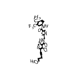 Cc1ccc(NC(=O)c2cnc(CNC(=O)c3ncnc(C#CCCCO)c3Cl)s2)cc1C(F)(F)F